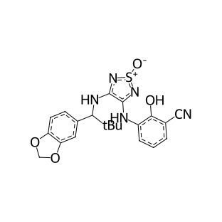 CC(C)(C)C(Nc1n[s+]([O-])nc1Nc1cccc(C#N)c1O)c1ccc2c(c1)OCO2